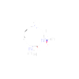 CC(C)N[C@]1(C)CCCCC=CCN(C)CCC[C@@](C)(C(=O)C(C)C)NCC1=O